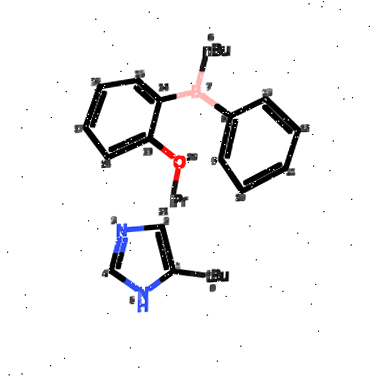 CC(C)(C)c1cnc[nH]1.CCCCB(c1ccccc1)c1ccccc1OC(C)C